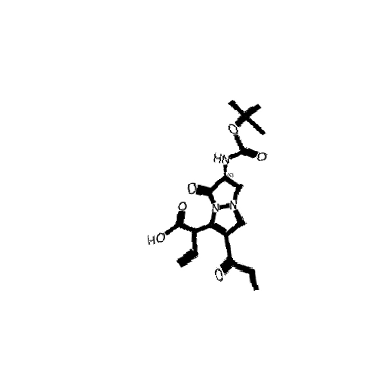 C=CC(C(=O)O)C1=C(C(=O)CC)CN2C[C@H](NC(=O)OC(C)(C)C)C(=O)N12